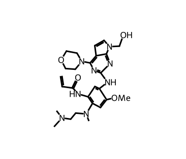 C=CC(=O)Nc1cc(Nc2nc(N3CCOCC3)c3ccn(CO)c3n2)c(OC)cc1N(C)CCN(C)C